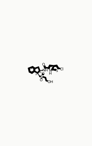 O=C(N[C@@H]1Cc2ccccc2[C@@H]1CS(=O)(=O)CCO)c1cc2cc(Cl)sc2[nH]1